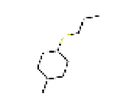 CCCSC1CCC(C)CC1